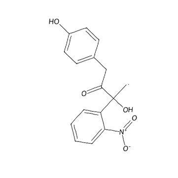 [CH2]C(O)(C(=O)Cc1ccc(O)cc1)c1ccccc1[N+](=O)[O-]